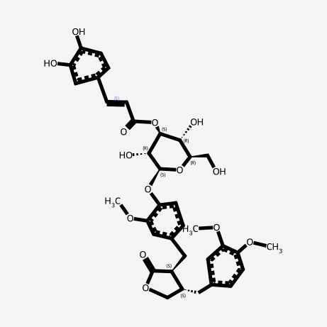 COc1ccc(C[C@@H]2COC(=O)[C@H]2Cc2ccc(O[C@@H]3O[C@H](CO)[C@@H](O)[C@H](OC(=O)/C=C/c4ccc(O)c(O)c4)[C@H]3O)c(OC)c2)cc1OC